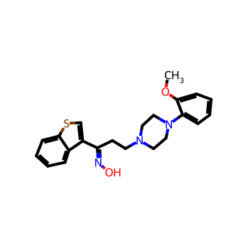 COc1ccccc1N1CCN(CCC(=NO)c2csc3ccccc23)CC1